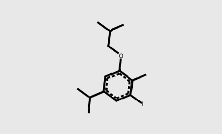 Cc1c(I)cc(C(C)C)cc1OCC(C)C